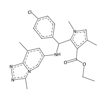 CCOC(=O)c1c(C)cn(C)c1C(Nc1cc(C)c2nnc(C)n2c1)c1ccc(Cl)cc1